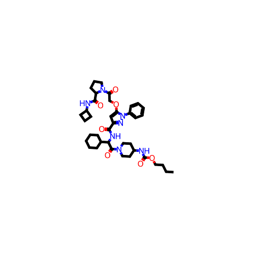 CCCCOC(=O)NC1CCN(C(=O)C(NC(=O)c2cc(OCC(=O)N3CCCC3C(=O)NC3CCC3)n(-c3ccccc3)n2)C2CCCCC2)CC1